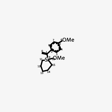 C=C(c1ccc(OC)cc1)[Si]1(OC)CCCCC1